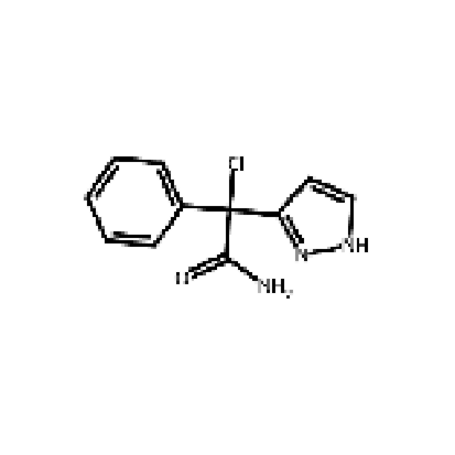 NC(=O)C(Cl)(c1ccccc1)c1cc[nH]n1